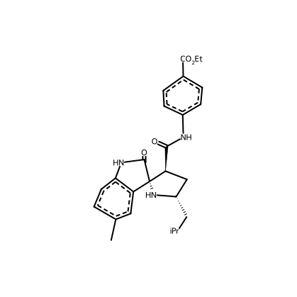 CCOC(=O)c1ccc(NC(=O)[C@H]2C[C@H](CC(C)C)N[C@]23C(=O)Nc2ccc(C)cc23)cc1